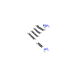 C=C.C=C.C=C.C=C.C=C.N.N